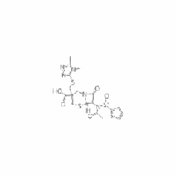 CC(=O)N(C1C(=O)N2CC(CSc3nnc(C)n3C)(C(=O)O)CS[C@H]12)[S+]([O-])c1cccs1